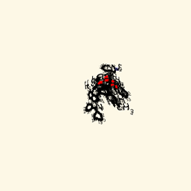 CC(C)[Si](C#Cc1c(F)ccc2cc(N=C(c3ccccc3)c3ccccc3)cc(-c3cc4nc(OC[C@@]56CCCN5C/C(=C\F)C6)nc(N5C[C@H]6CC[C@@H](C5)N6C(=O)OC(C)(C)C)c4c4cn(C)nc34)c12)(C(C)C)C(C)C